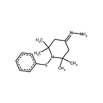 CC1(C)CC(=NN)CC(C)(C)N1Sc1ccccc1